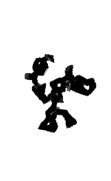 N#Cc1ccc(C(=O)N2CC(Cn3c(-c4cc5ccccc5n4CC4CC4)nc4cc(C(=O)N5CC6CCC5[C@@H]6N)ccc43)C2)cc1